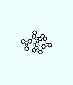 c1ccc(-n2c3ccccc3c3cc(-c4cccc5c6cccc7c8nc9c(nc8n(c45)c67)c4cc5ccccc5c5c6c7ccccc7cc(-c7ccc8c(c7)c7ccccc7n8-c7ccccc7)c6n9c45)ccc32)cc1